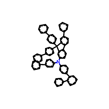 c1ccc(-c2ccc(N(c3ccc(-c4ccccc4-c4ccccc4)cc3)c3ccc4c(c3)C(c3ccc(-c5ccccc5)cc3)(c3ccc(-c5ccccc5)cc3)c3cc(-c5ccccc5)ccc3-4)cc2)cc1